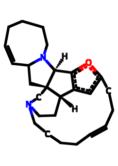 C1=C\CCc2cc3c(o2)[C@@H]2N4CCCC/C=C\C4C[C@@]24CN(CCCC/1)CC[C@@H]34